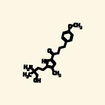 COc1ccc(CCCC(=O)c2cc(C)c(CC[C@@](C)(N)CO)[nH]2)cc1